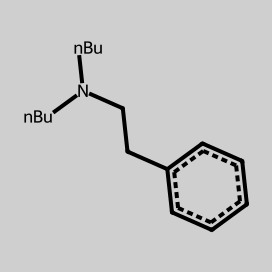 CCCCN(CCCC)CCc1ccccc1